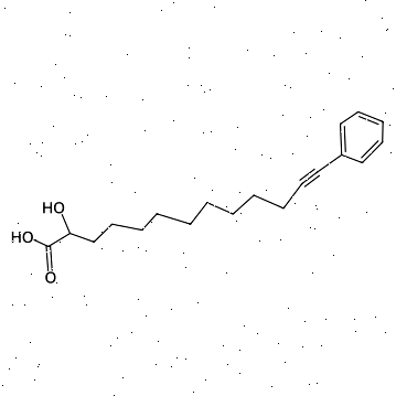 O=C(O)C(O)CCCCCCCCCC#Cc1ccccc1